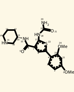 COc1ccc(-c2cc(C(=O)N[C@H]3CCCNC3)c(NC(N)=O)s2)c(OC)c1